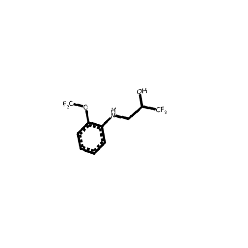 OC(CNc1ccccc1OC(F)(F)F)C(F)(F)F